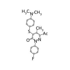 CC(=O)c1nn(-c2ccc(F)cc2)c(=O)c(Sc2ccc(N(C)C)cc2)c1C